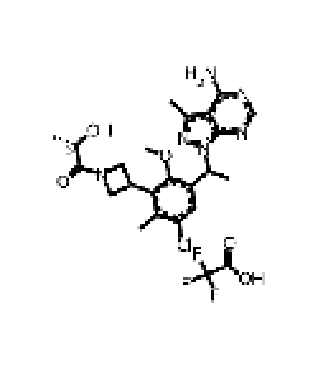 COc1c(C(C)n2nc(C)c3c(N)ncnc32)cc(Cl)c(C)c1C1CN(C(=O)[C@H](C)O)C1.O=C(O)C(F)(F)F